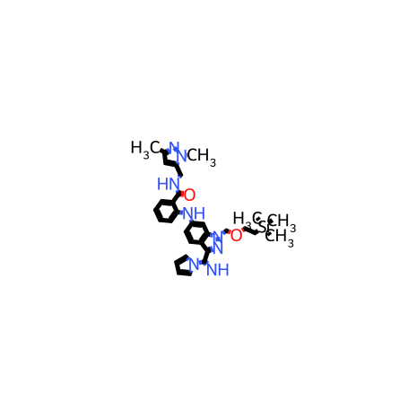 Cc1cc(CNC(=O)c2ccccc2Nc2ccc3c(C(=N)n4cccc4)nn(COCC[Si](C)(C)C)c3c2)n(C)n1